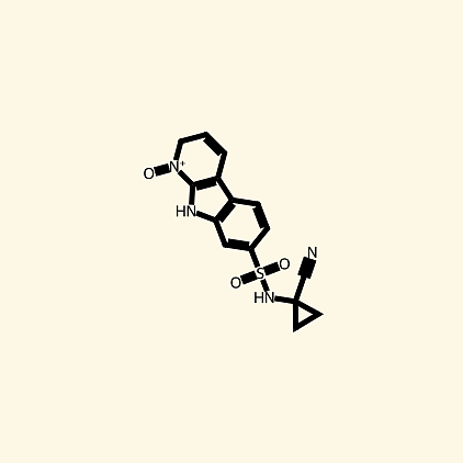 N#CC1(NS(=O)(=O)c2ccc3c4c([nH]c3c2)[N+](=O)CC=C4)CC1